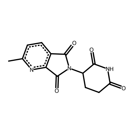 Cc1ccc2c(n1)C(=O)N(C1CCC(=O)NC1=O)C2=O